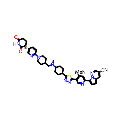 CNc1cc(-c2ccc3cc(C#N)cnn23)ncc1-c1nnc(C2CCC(N(C)CC3CCN(c4ccc([C@H]5CCC(=O)NC5=O)cn4)CC3)CC2)s1